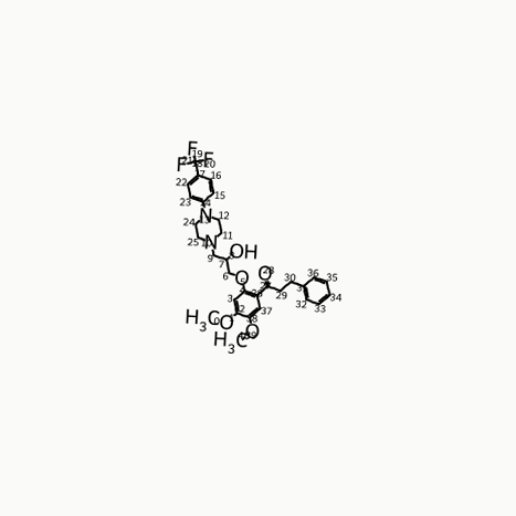 COc1cc(OCC(O)CN2CCN(c3ccc(C(F)(F)F)cc3)CC2)c(C(=O)CCc2ccccc2)cc1OC